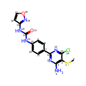 CSc1c(N)nc(-c2ccc(NC(=O)Nc3ccon3)cc2)nc1Cl